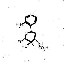 CC[C@H]1O[C@@H](c2ccncc2N)C[C@@H](NC(=O)O)[C@]1(C)O